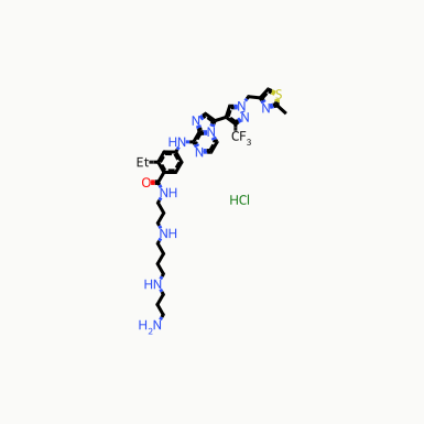 CCc1cc(Nc2nccn3c(-c4cn(Cc5csc(C)n5)nc4C(F)(F)F)cnc23)ccc1C(=O)NCCCNCCCCNCCCN.Cl